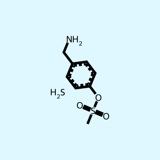 CS(=O)(=O)Oc1ccc(CN)cc1.S